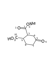 COC(=O)C1CC(=O)CCC1C(=O)O